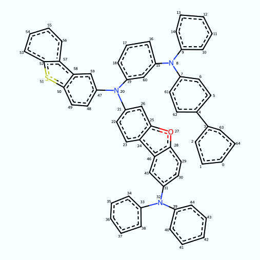 c1ccc(-c2ccc(N(c3ccccc3)c3cccc(N(c4ccc5c(c4)oc4ccc(N(c6ccccc6)c6ccccc6)cc45)c4ccc5sc6ccccc6c5c4)c3)cc2)cc1